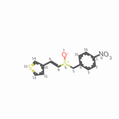 O=[N+]([O-])c1ccc(C[S+]([O-])C=Cc2ccsc2)cc1